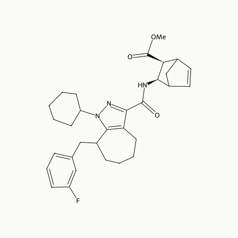 COC(=O)[C@H]1C2C=CC(C2)[C@H]1NC(=O)c1nn(C2CCCCC2)c2c1CCCCC2Cc1cccc(F)c1